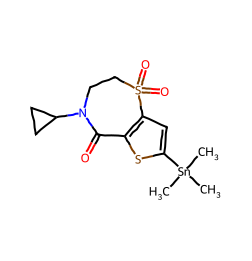 [CH3][Sn]([CH3])([CH3])[c]1cc2c(s1)C(=O)N(C1CC1)CCS2(=O)=O